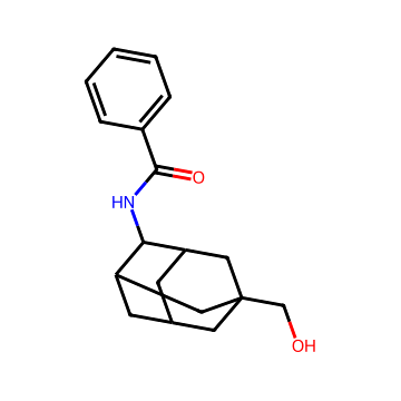 O=C(NC1C2CC3CC1CC(CO)(C3)C2)c1ccccc1